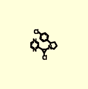 Clc1ccc(C2CCCN2C2C(Cl)C2c2cnccn2)cc1